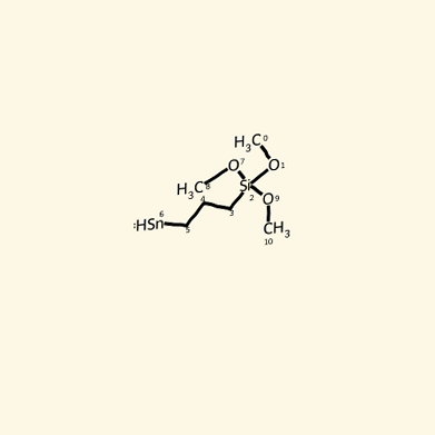 CO[Si](CC[CH2][SnH])(OC)OC